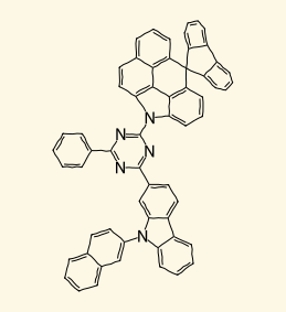 c1ccc(-c2nc(-c3ccc4c5ccccc5n(-c5ccc6ccccc6c5)c4c3)nc(-n3c4cccc5c4c4c6c(cccc6ccc43)C53c4ccccc4-c4ccccc43)n2)cc1